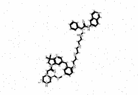 COC[C@H]1CN[C@H](C)CN1CC(=O)N1CC(C)(C)c2ncc(Cc3ccccc3OCCOCCOCCNC[C@@H](C(=O)Nc3ccc4cnccc4c3)c3ccccc3)cc21